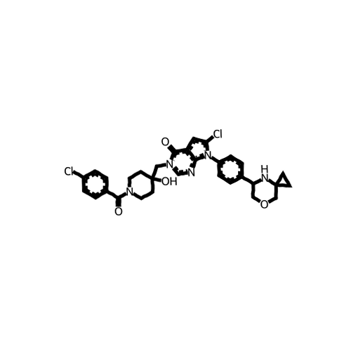 O=C(c1ccc(Cl)cc1)N1CCC(O)(Cn2cnc3c(cc(Cl)n3-c3ccc(C4COCC5(CC5)N4)cc3)c2=O)CC1